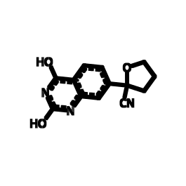 N#CC1(c2ccc3c(O)nc(O)nc3c2)CCCO1